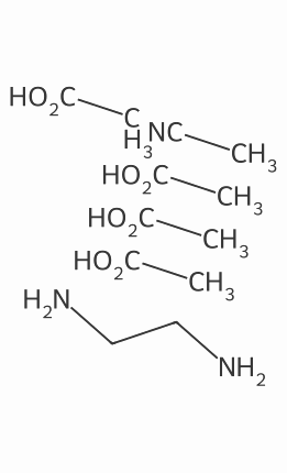 CC#N.CC(=O)O.CC(=O)O.CC(=O)O.CC(=O)O.NCCN